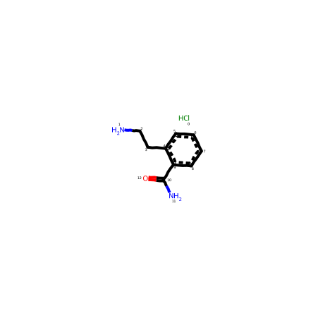 Cl.NCCc1ccccc1C(N)=O